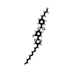 CCCCCCCCCCc1cnc(-c2ccc(OC(=O)c3ccc(CCCCC)cc3)cc2F)nc1